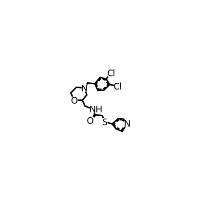 O=C(CSc1ccncc1)NCC1CN(Cc2ccc(Cl)c(Cl)c2)CCO1